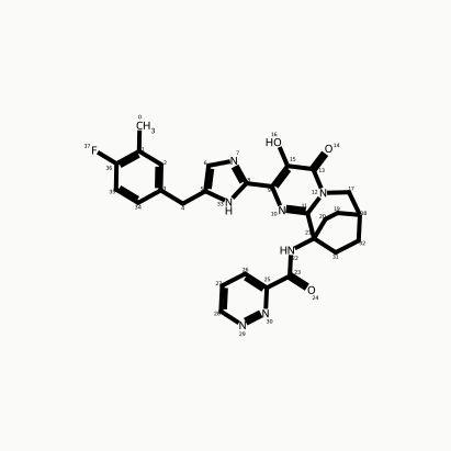 Cc1cc(Cc2cnc(-c3nc4n(c(=O)c3O)CC3CCC4(NC(=O)c4cccnn4)CC3)[nH]2)ccc1F